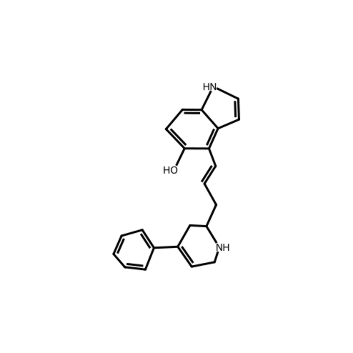 Oc1ccc2[nH]ccc2c1C=CCC1CC(c2ccccc2)=CCN1